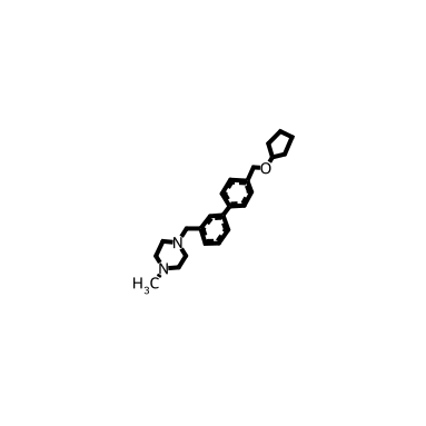 CN1CCN(Cc2cccc(-c3ccc(COC4CCCC4)cc3)c2)CC1